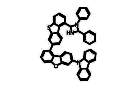 C1=CC(C2NC(c3cccc4sc5cc(-c6cccc7oc8cc(-n9c%10ccccc%10c%10ccccc%109)ccc8c67)ccc5c34)N2c2ccccc2)=CCC1